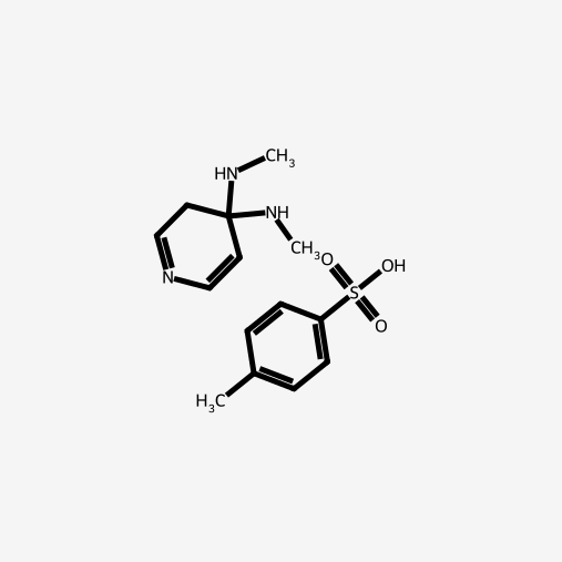 CNC1(NC)C=CN=CC1.Cc1ccc(S(=O)(=O)O)cc1